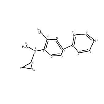 CN(c1ccc(-c2ccncn2)cc1Cl)C1CC1